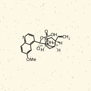 C=C[C@H]1CN2CC[C@H]1C[C@H]2[C@](Cl)(OP(=O)(O)O)c1ccnc2ccc(OC)cc12